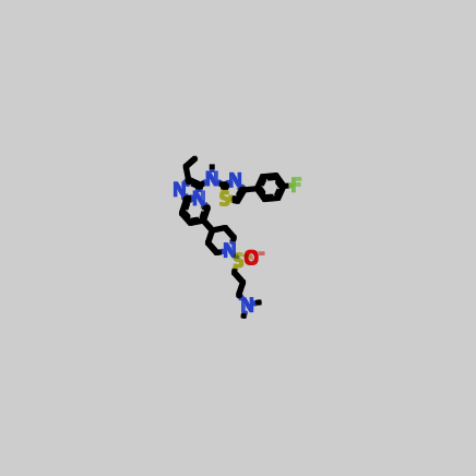 CCc1nc2ccc(C3CCN([S+]([O-])CCCN(C)C)CC3)cn2c1N(C)c1nc(-c2ccc(F)cc2)cs1